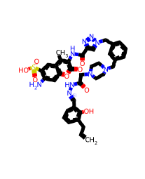 C=CCc1cccc(/C=N/NC(=O)CN2CCN(Cc3cccc(Cn4cc(C(=O)Nc5c(C)c6cc(S(=O)(=O)O)c(N)cc6oc5=O)nn4)c3)CC2)c1O